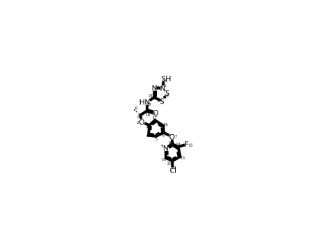 C[C@@H](Oc1ccc(Oc2ncc(Cl)cc2F)cc1)C(=O)NC1=NN(S)SS1